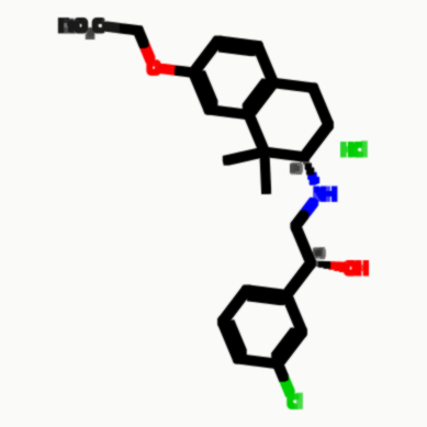 CCOC(=O)COc1ccc2c(c1)C(C)(C)[C@@H](NC[C@H](O)c1cccc(Cl)c1)CC2.Cl